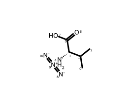 CC(C)[C@H](N)C(=O)O.[N-]=[N+]=[N-]